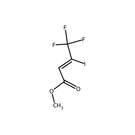 COC(=O)/C=C(\I)C(F)(F)F